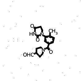 Cc1ccc(C(=O)N2CCC(C=O)CC2)cc1N1CCC(=O)NC1=O